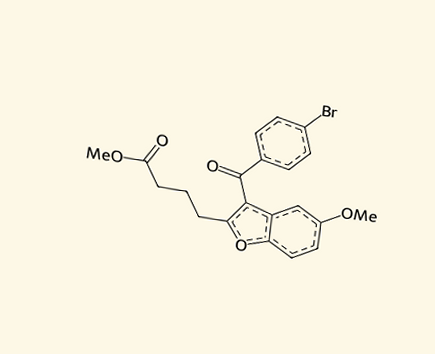 COC(=O)CCCc1oc2ccc(OC)cc2c1C(=O)c1ccc(Br)cc1